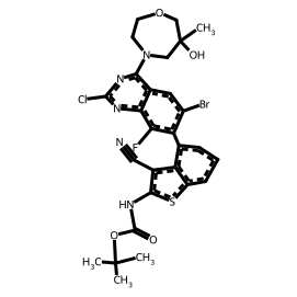 CC1(O)COCCN(c2nc(Cl)nc3c(F)c(-c4cccc5sc(NC(=O)OC(C)(C)C)c(C#N)c45)c(Br)cc23)C1